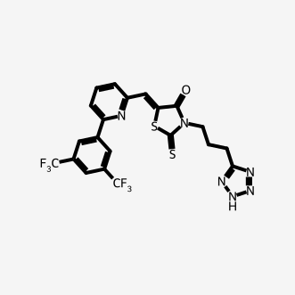 O=C1C(=Cc2cccc(-c3cc(C(F)(F)F)cc(C(F)(F)F)c3)n2)SC(=S)N1CCCc1nn[nH]n1